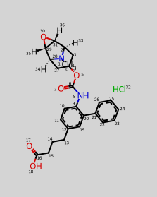 CN1[C@@H]2CC(OC(=O)Nc3ccc(CCCC(=O)O)cc3-c3ccccc3)C[C@H]1[C@@H]1O[C@@H]12.Cl